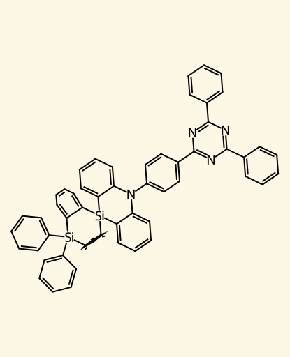 c1ccc(-c2nc(-c3ccccc3)nc(-c3ccc(N4c5ccccc5[Si]5(c6ccccc64)c4ccccc4[Si](c4ccccc4)(c4ccccc4)c4ccccc45)cc3)n2)cc1